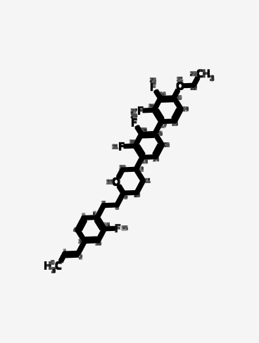 C/C=C/c1ccc(CCC2CCC(c3ccc(-c4ccc(OCC)c(F)c4F)c(F)c3F)CO2)c(F)c1